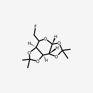 CC1(C)O[C@H]2OC(CF)[C@@H]3OC(C)(C)O[C@@H]3[C@H]2O1